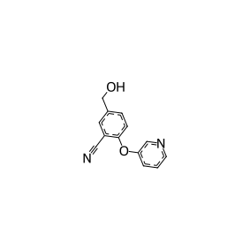 N#Cc1cc(CO)ccc1Oc1cccnc1